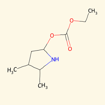 CCOC(=O)OC1CC(C)C(C)N1